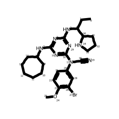 CCC(Nc1nc(NC2CCCCCC2)nc(N(C#N)c2ccc(OC)c(Br)c2)n1)C1CCCN1